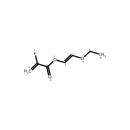 C=C(F)C(=O)OC=COCC